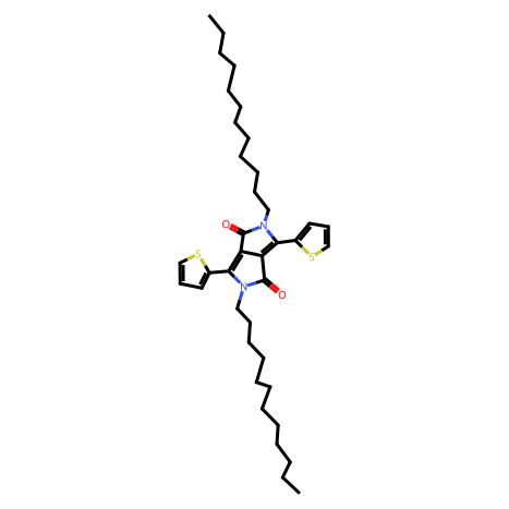 CCCCCCCCCCCCN1C(=O)C2=C(c3cccs3)N(CCCCCCCCCCCC)C(=O)C2=C1c1cccs1